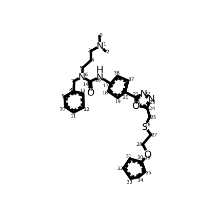 CN(C)CCCN(Cc1ccccc1)C(=O)Nc1ccc(-c2nnc(CSCCOc3ccccc3)o2)cc1